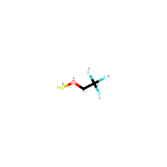 FC(F)(F)COS